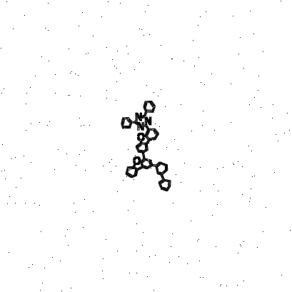 c1ccc(-c2cccc(-c3cc(-c4ccc5oc6c(-c7nc(-c8ccccc8)nc(-c8ccccc8)n7)cccc6c5c4)c4oc5ccccc5c4c3)c2)cc1